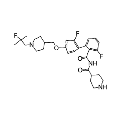 CC(C)(F)CN1CCC(COc2ccc(-c3cccc(F)c3C(=O)NC(=O)C3CCNCC3)c(F)c2)CC1